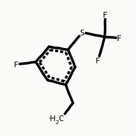 [CH2]Cc1cc(F)cc(SC(F)(F)F)c1